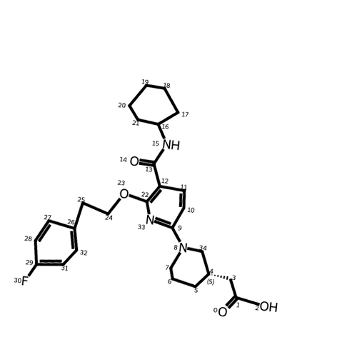 O=C(O)C[C@@H]1CCCN(c2ccc(C(=O)NC3CCCCC3)c(OCCc3ccc(F)cc3)n2)C1